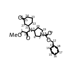 COCC(=O)N(C1CCN(C(=O)OCc2ccccc2)CC1)[C@@H]1CCCC(=O)C1